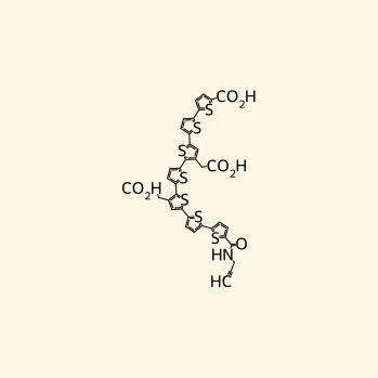 C#CCNC(=O)c1ccc(-c2ccc(-c3cc(CC(=O)O)c(-c4ccc(-c5sc(-c6ccc(-c7ccc(C(=O)O)s7)s6)cc5CC(=O)O)s4)s3)s2)s1